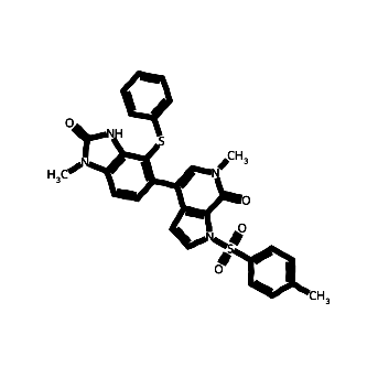 Cc1ccc(S(=O)(=O)n2ccc3c(-c4ccc5c([nH]c(=O)n5C)c4Sc4ccccc4)cn(C)c(=O)c32)cc1